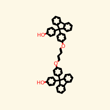 Oc1ccc(C2(c3ccc(O/C=C/C=C/Oc4ccc(C5(c6ccc(O)cc6)c6ccccc6-c6ccccc65)cc4)cc3)c3ccccc3-c3ccccc32)cc1